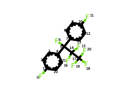 Fc1ccc(C(F)(c2ccc(F)cc2)C(F)(F)C(F)(F)F)cc1